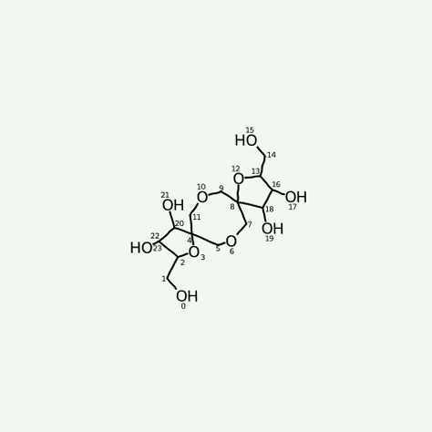 OCC1OC2(COCC3(COC2)OC(CO)C(O)C3O)C(O)C1O